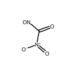 O=NC(=O)[N+](=O)[O-]